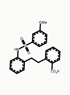 COc1cccc(S(=O)(=O)Nc2ccccc2CCc2ccccc2C(=O)O)c1